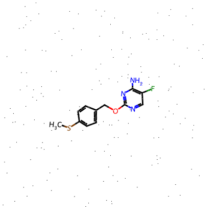 CSc1ccc(COc2ncc(F)c(N)n2)cc1